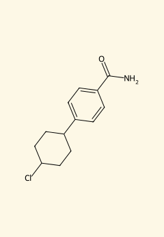 NC(=O)c1ccc(C2CCC(Cl)CC2)cc1